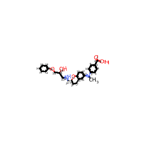 CN(c1ccc(C(=O)O)cc1)c1ccc2c(c1)CC[C@H](CNC[C@H](O)COc1ccccc1)O2